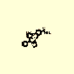 COc1ccc(C(N)=O)cc1CNC1C2CCN(C2)C1C(c1ccccc1)c1ccccc1